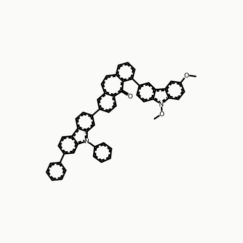 COc1ccc2c(c1)c1cc(-c3cccc4ccc5cc(-c6ccc7c8ccc(-c9ccccc9)cc8n(-c8ccccc8)c7c6)ccc5c(=O)c34)ccc1n2OC